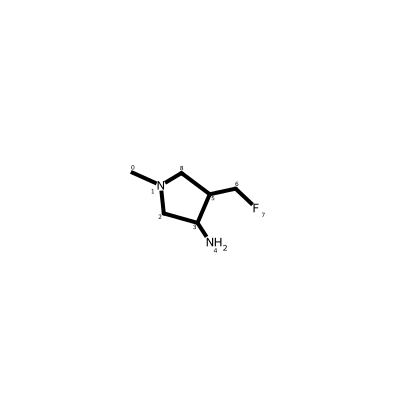 CN1CC(N)C(CF)C1